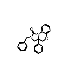 O=C1N(Cc2ccccc2)CC2(c3ccccc3)COc3ccccc3N12